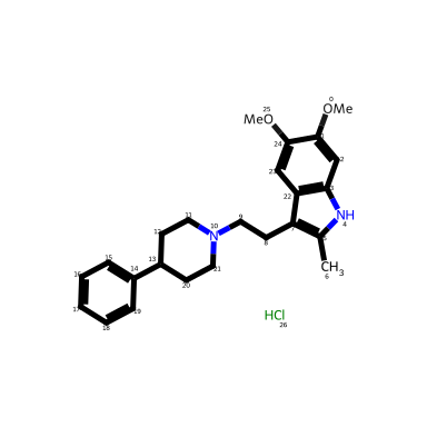 COc1cc2[nH]c(C)c(CCN3CCC(c4ccccc4)CC3)c2cc1OC.Cl